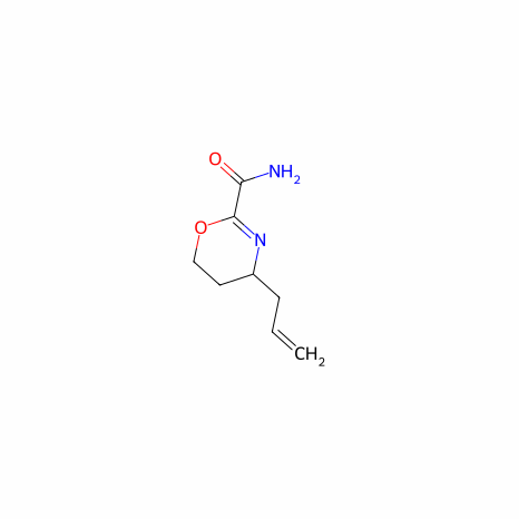 C=CCC1CCOC(C(N)=O)=N1